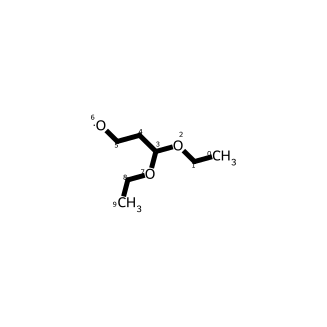 CCOC(CC[O])OCC